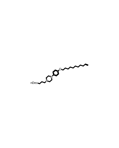 C=CCCCCCCCCCOc1ccc(N2CCN(CCCCCCCCCCCCC)CC2)cc1